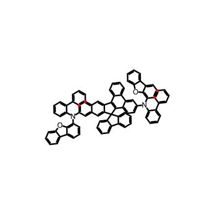 c1ccc(-c2ccccc2N(c2ccc3cc4c(cc3c2)C2(c3ccccc3-c3ccccc32)c2c-4c3ccccc3c3cc(N(c4ccccc4-c4ccccc4)c4cccc5c4oc4ccccc45)ccc23)c2cccc3c2oc2ccccc23)cc1